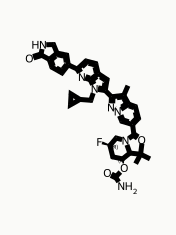 Cc1c(-c2cc3ccc(-c4ccc5c(c4)CNC5=O)nc3n2CC2CC2)nn2cc(C(=O)N3C[C@H](F)C[C@@H](OC(N)=O)C3C(C)(C)C)ccc12